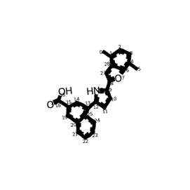 Cc1ccc(C)c2oc(-c3ccc(-c4cc(C(=O)O)cc5ccccc45)[nH]3)cc12